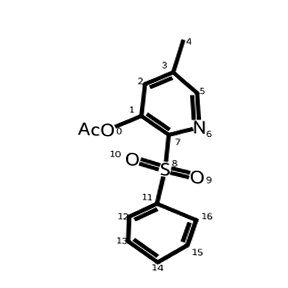 CC(=O)Oc1cc(C)cnc1S(=O)(=O)c1ccccc1